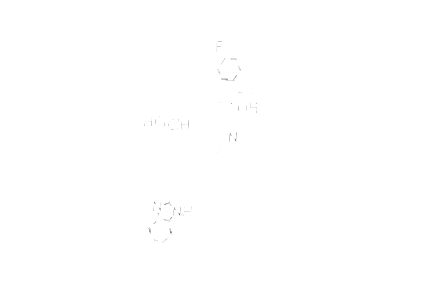 CC(C)C1c2ccc(F)cc2CCC1(O)CCN(C)CCCCCCCc1nc2ccccc2[nH]1.Cl.Cl